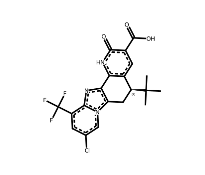 CC(C)(C)[C@H]1Cc2c(nc3c(C(F)(F)F)cc(Cl)cn23)-c2[nH]c(=O)c(C(=O)O)cc21